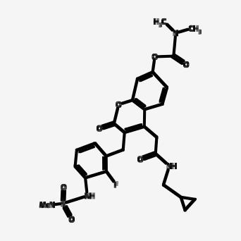 CNS(=O)(=O)Nc1cccc(Cc2c(CC(=O)NCC3CC3)c3ccc(OC(=O)N(C)C)cc3oc2=O)c1F